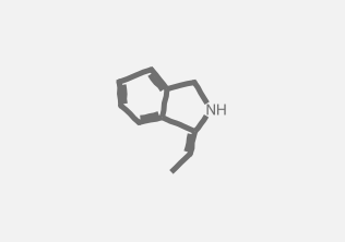 C/C=C1/NCc2ccccc21